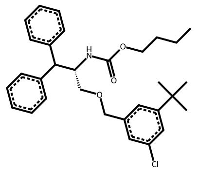 CCCCOC(=O)N[C@H](COCc1cc(Cl)cc(C(C)(C)C)c1)C(c1ccccc1)c1ccccc1